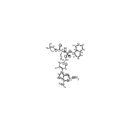 CC1=C(n2cnc3c(N(C)C)nc(N)nc32)CO[C@](F)(CO[P@@](=O)(N[C@@H](C)C(=O)OCC(C)(C)C)Oc2cccc3ccccc23)C1